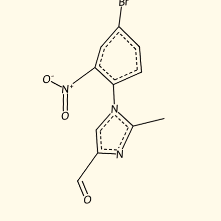 Cc1nc(C=O)cn1-c1ccc(Br)cc1[N+](=O)[O-]